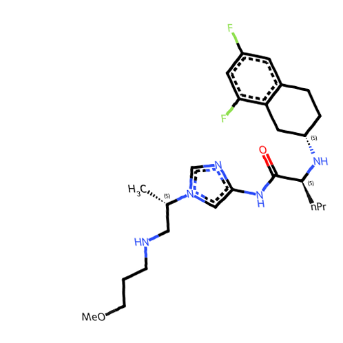 CCC[C@H](N[C@H]1CCc2cc(F)cc(F)c2C1)C(=O)Nc1cn([C@@H](C)CNCCCOC)cn1